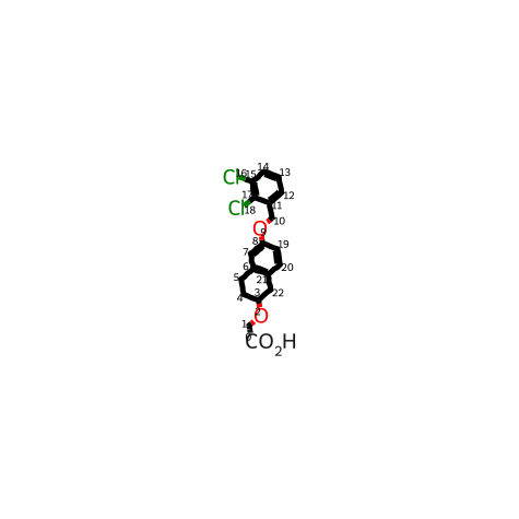 O=C(O)COC1CCc2cc(OCc3cccc(Cl)c3Cl)ccc2C1